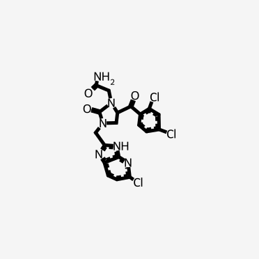 NC(=O)CN1C(=O)N(Cc2nc3ccc(Cl)nc3[nH]2)CC1C(=O)c1ccc(Cl)cc1Cl